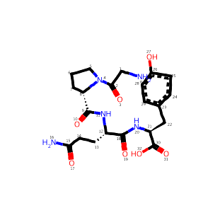 NCC(=O)N1CCC[C@H]1C(=O)N[C@@H](CCC(N)=O)C(=O)N[C@@H](Cc1ccc(O)cc1)C(=O)O